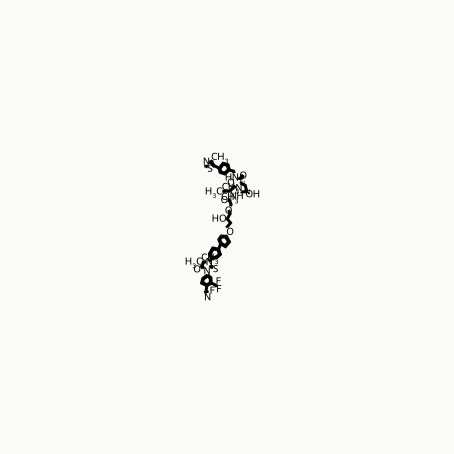 Cc1ncsc1-c1ccc(CNC(=O)[C@@H]2C[C@@H](O)CN2C(=O)C(NC(=O)COCC(O)CCOc2ccc(-c3ccc(N4C(=S)N(c5ccc(C#N)c(C(F)(F)F)c5)C(=O)C4(C)C)cc3)cc2)C(C)(C)C)cc1